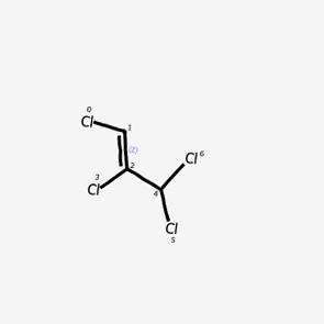 Cl/C=C(\Cl)C(Cl)Cl